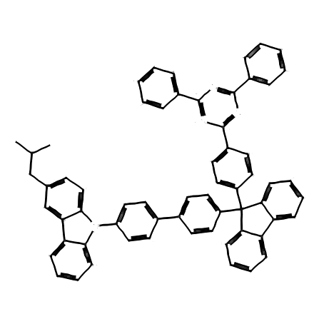 CC(C)Cc1ccc2c(c1)c1ccccc1n2-c1ccc(-c2ccc(C3(c4ccc(-c5nc(-c6ccccc6)nc(-c6ccccc6)n5)cc4)c4ccccc4-c4ccccc43)cc2)cc1